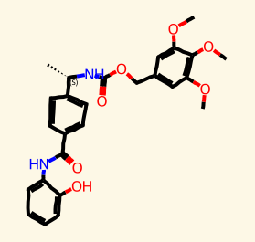 COc1cc(COC(=O)N[C@@H](C)c2ccc(C(=O)Nc3ccccc3O)cc2)cc(OC)c1OC